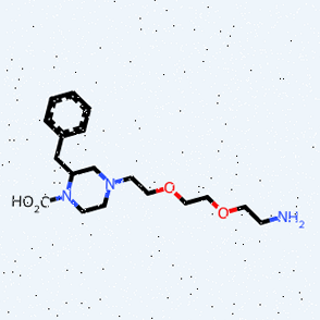 NCCOCCOCCN1CCN(C(=O)O)C(Cc2ccccc2)C1